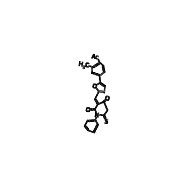 CC(=O)c1ccc(-c2ccc(/C=C3\C(=O)CC(=S)N(c4ccccc4)C3=O)o2)cc1C